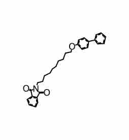 O=C1c2ccccc2C(=O)N1CCCCCCCCCCOc1ccc(-c2ccccc2)cc1